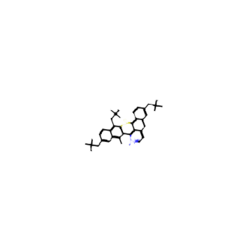 Cc1c2c(c(CC(C)(C)C)c3ccc(CC(C)(C)C)cc13)Sc1c3ccc(CC(C)(C)C)cc3cc3cc[n+](C)c-2c13